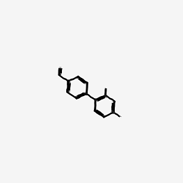 O=Cc1ccc(-c2ccc(F)cc2F)cc1